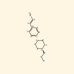 CCC[C@H]1CC[C@H](c2ccc(C=CF)cc2)CC1